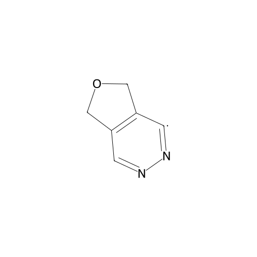 [c]1nncc2c1COC2